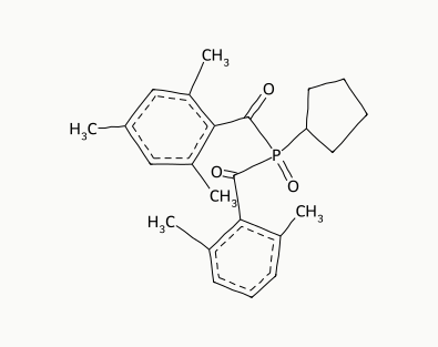 Cc1cc(C)c(C(=O)P(=O)(C(=O)c2c(C)cccc2C)C2CCCC2)c(C)c1